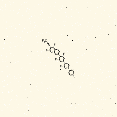 Cc1ccc(-c2ccc(-c3cc(F)c(-c4ccc5c(F)c(C#CC(F)(F)F)c(F)cc5c4)c(F)c3)c(F)c2)nc1